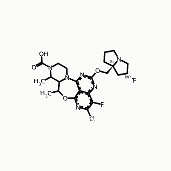 CC1Oc2nc(Cl)c(F)c3nc(OC[C@@]45CCCN4C[C@H](F)C5)nc(c23)N2CCN(C(=O)O)C(C)C12